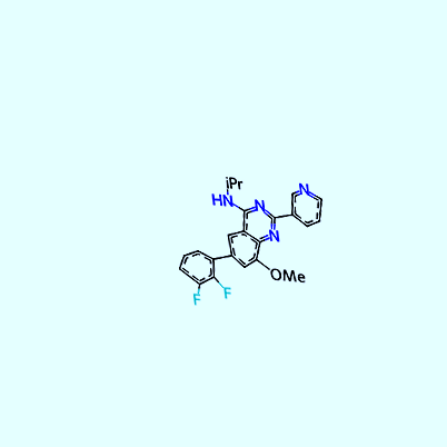 COc1cc(-c2cccc(F)c2F)cc2c(NC(C)C)nc(-c3cccnc3)nc12